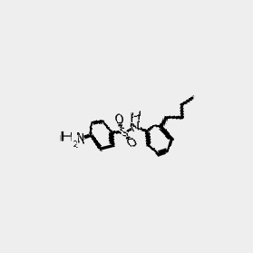 CCCCc1ccccc1NS(=O)(=O)c1ccc(N)cc1